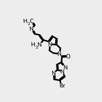 C=C/N=C\C=C(/N)c1ccc2n1CCN(C(=O)c1cc3ncc(Br)cn3n1)C2